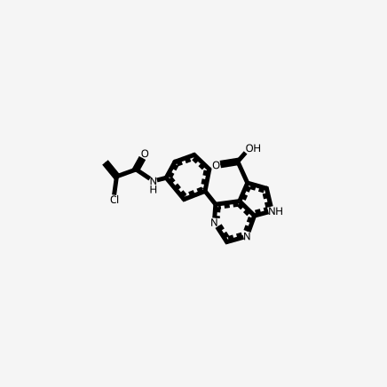 C=C(Cl)C(=O)Nc1cccc(-c2ncnc3[nH]cc(C(=O)O)c23)c1